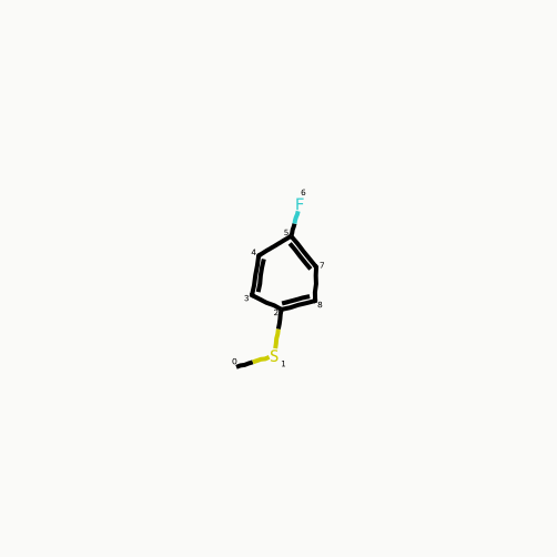 CSc1ccc(F)cc1